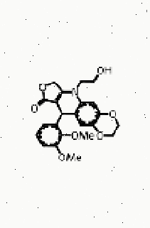 COc1cccc(C2C3=C(COC3=O)N(CCO)c3cc4c(cc32)OCCO4)c1OC